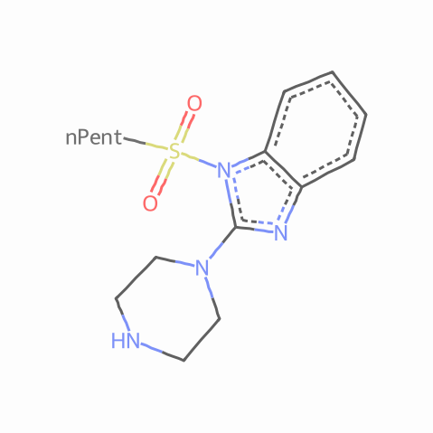 CCCCCS(=O)(=O)n1c(N2CCNCC2)nc2ccccc21